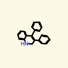 c1ccc(C2=C(c3ccccc3)c3ccccc3NC2)cc1